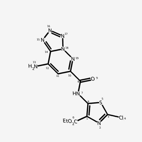 CCOC(=O)c1nc(Cl)sc1NC(=O)c1cc(N)c2nnnn2n1